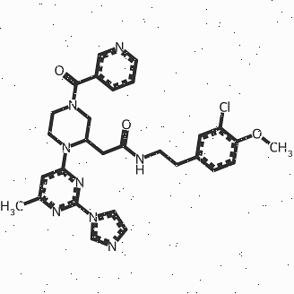 COc1ccc(CCNC(=O)CC2CN(C(=O)c3cccnc3)CCN2c2cc(C)nc(-n3ccnc3)n2)cc1Cl